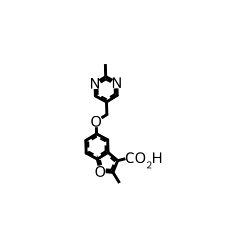 Cc1ncc(COc2ccc3oc(C)c(C(=O)O)c3c2)cn1